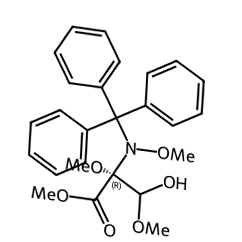 COC(=O)[C@](OC)(C(O)OC)N(OC)C(c1ccccc1)(c1ccccc1)c1ccccc1